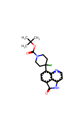 CC(C)(C)OC(=O)N1CCC(F)(c2ccc3c4c(ccnc24)NC3=O)CC1